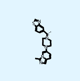 Cc1ncc2ccc(N3CCN([C@@H](C)c4ccc5scnc5c4)CC3)cn12